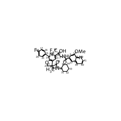 COc1cc(C(=O)NC[C@](O)(c2cc3c(c(-c4ccc(F)cc4)n2)OC[C@]3(C)C(=O)NC2CCCCC2)C(F)(F)F)cc2cccnc12